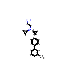 NCCN(C1CC1)[C@@H]1C[C@H]1c1ccc(-c2cccc(C(F)(F)F)c2)cc1